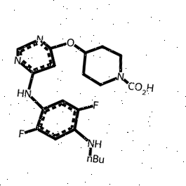 CCCCNc1cc(F)c(Nc2cc(OC3CCN(C(=O)O)CC3)ncn2)cc1F